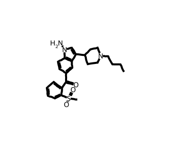 CCCCN1CCC(c2cn(N)c3ccc(C(=O)c4ccccc4S(C)(=O)=O)cc23)CC1